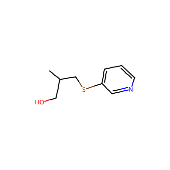 CC(CO)CSc1cccnc1